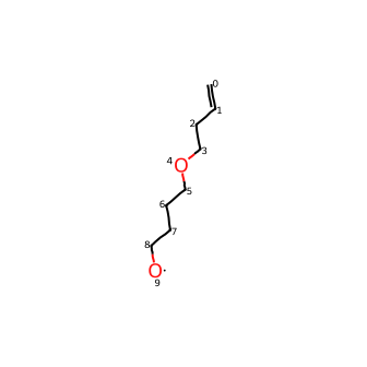 C=CCCOCCCC[O]